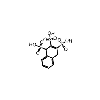 O=S(=O)(O)C1=C(S(=O)(=O)O)C(S(=O)(=O)O)c2ccccc2[CH]1